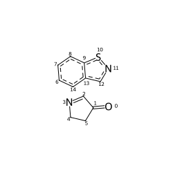 O=C1C=NCC1.c1ccc2sncc2c1